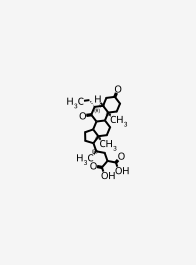 CC[C@H]1C(=O)C2C3CCC([C@H](C)CC(C(=O)O)C(=O)O)[C@@]3(C)CCC2[C@@]2(C)CCC(=O)C[C@@H]12